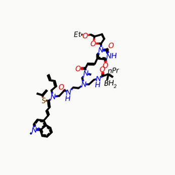 BC(C)(CCC)C(=O)NCCN(CCNC(=O)CN(C/C=C\C=C)/C(=C/C=C/c1cc[n+](C)c2ccccc12)SC(=C)C)CN(C)C(=O)/C=C/c1cn(C2CCC(COCC)O2)c(=O)[nH]c1=O